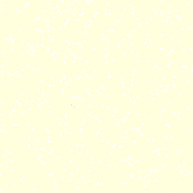 O=C(Oc1cc(OCC2CCCCC2)ccn1)C1CCOCC1.[Li]